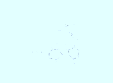 CC(=O)Nc1cccc(O[C@H]2c3ccccc3C[C@@H]2N2CCNCC2)c1